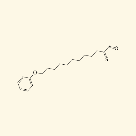 O=[C]C(=S)CCCCCCCCCCOc1ccccc1